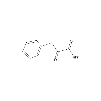 CCCC(=O)C(=O)Cc1ccccc1